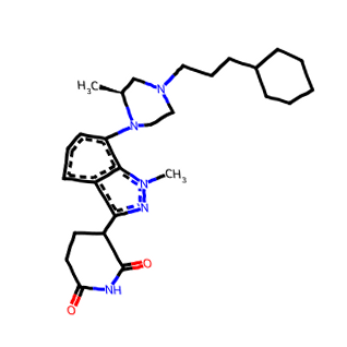 C[C@H]1CN(CCCC2CCCCC2)CCN1c1cccc2c(C3CCC(=O)NC3=O)nn(C)c12